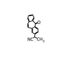 CC(C#N)c1ccc2c(=O)c3ccccc3ccc2c1